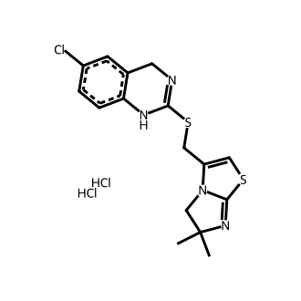 CC1(C)CN2C(CSC3=NCc4cc(Cl)ccc4N3)=CSC2=N1.Cl.Cl